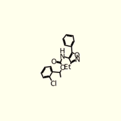 CCc1noc(-c2ccccc2)c1NC(=O)OC(C)c1ccccc1Cl